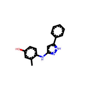 Cc1cc(O)ccc1Nc1cc(-c2ccccc2)[nH]n1